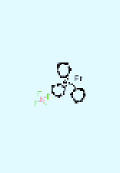 CC[As+](c1ccccc1)(c1ccccc1)c1ccccc1.F[B-](F)(F)F